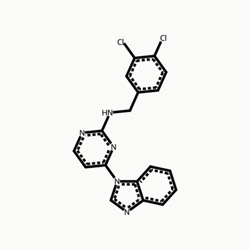 Clc1ccc(CNc2nccc(-n3cnc4ccccc43)n2)cc1Cl